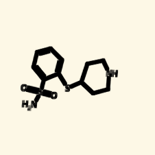 NS(=O)(=O)c1ccccc1SC1CCNCC1